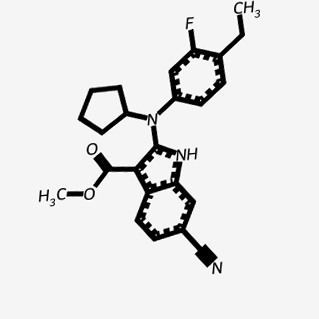 CCc1ccc(N(c2[nH]c3cc(C#N)ccc3c2C(=O)OC)C2CCCC2)cc1F